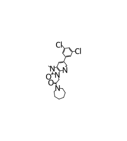 Cn1c(=O)n(CC(=O)N2CCCCCC2)c2ncc(-c3cc(Cl)cc(Cl)c3)cc21